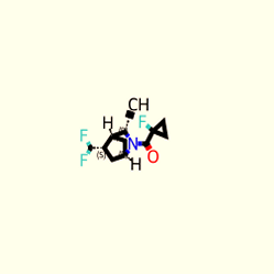 C#C[C@H]1[C@H]2C[C@H](C[C@@H]2C(F)F)N1C(=O)C1(F)CC1